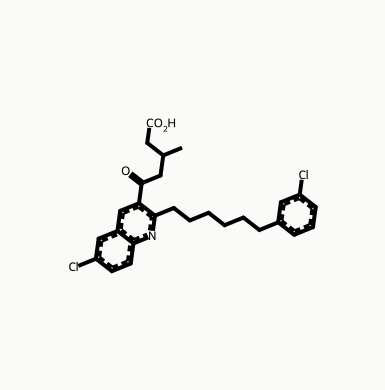 CC(CC(=O)O)CC(=O)c1cc2cc(Cl)ccc2nc1CCCCCCc1cccc(Cl)c1